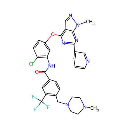 CN1CCN(Cc2ccc(C(=O)Nc3cc(Oc4nc(-c5cccnc5)nc5c4cnn5C)ccc3Cl)cc2C(F)(F)F)CC1